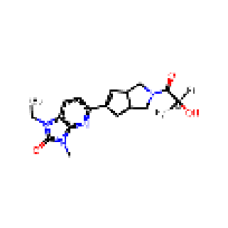 CC[C@](O)(C(=O)N1CC2C=C(c3ccc4c(n3)n(C)c(=O)n4CC(C)(C)C)CC2C1)C(F)(F)F